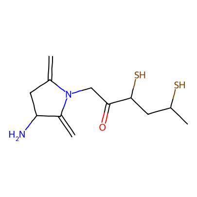 C=C1CC(N)C(=C)N1CC(=O)C(S)CC(C)S